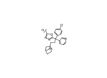 Cc1nnc(C(CCN2CC3CCC2CC3)(c2ccc(Cl)cc2)c2cccnc2)o1